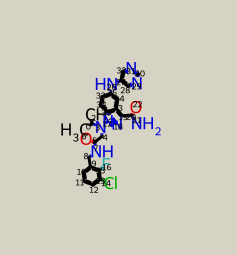 CC(C)N(CC(=O)NCc1cccc(Cl)c1F)n1nc(C(N)=O)c2cc(Nc3cncnc3)ccc21